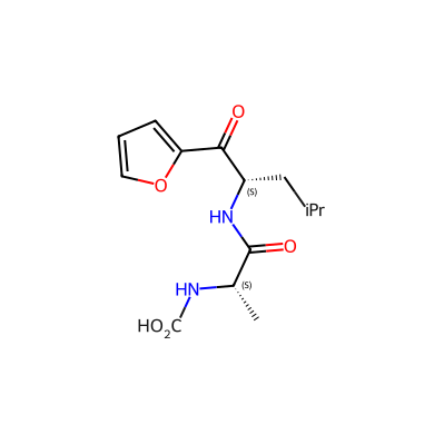 CC(C)C[C@H](NC(=O)[C@H](C)NC(=O)O)C(=O)c1ccco1